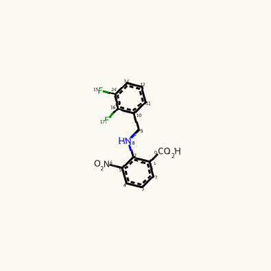 O=C(O)c1cccc([N+](=O)[O-])c1NCc1cccc(F)c1F